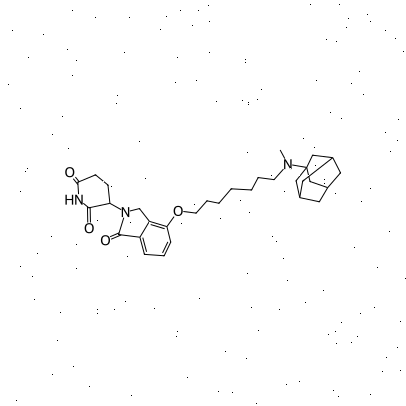 CN(CCCCCCCOc1cccc2c1CN(C1CCC(=O)NC1=O)C2=O)C12CC3CC(CC(C3)C1)C2